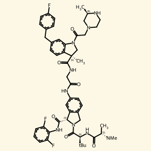 CN[C@@H](C)C(=O)N[C@H](C(=O)N1Cc2ccc(NC(=O)CNC(=O)[C@]3(C)CN(C(=O)CN4CCN[C@H](C)C4)c4cc(Cc5ccc(F)cc5)ccc43)cc2[C@H]1C(=O)Nc1c(F)cccc1F)C(C)(C)C